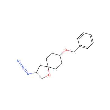 [N-]=[N+]=NC1COC2(CCC(OCc3ccccc3)CC2)C1